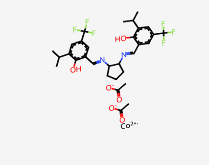 CC(=O)[O-].CC(=O)[O-].CC(C)c1cc(C(F)(F)F)cc(C=NC2CCCC2N=Cc2cc(C(F)(F)F)cc(C(C)C)c2O)c1O.[Co+2]